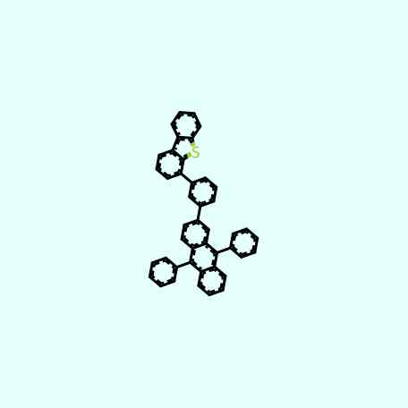 c1ccc(-c2c3ccccc3c(-c3ccccc3)c3cc(-c4cccc(-c5cccc6c5sc5ccccc56)c4)ccc23)cc1